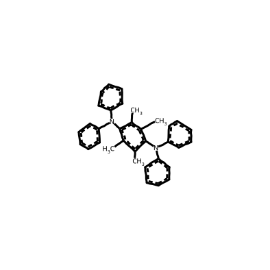 Cc1c(C)c(N(c2ccccc2)c2ccccc2)c(C)c(C)c1N(c1ccccc1)c1ccccc1